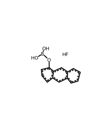 F.OB(O)Oc1cccc2cc3ccccc3cc12